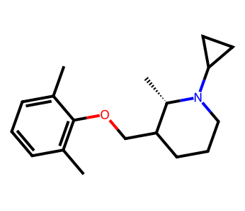 Cc1cccc(C)c1OCC1CCCN(C2CC2)[C@H]1C